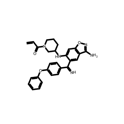 C=CC(=O)N1CCCC(Nc2cc3onc(N)c3cc2C(=N)c2ccc(Oc3ccccc3)cc2)C1